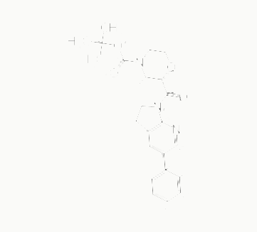 CC(C)(C)OC(=O)N1CCOC(C(=O)N2CCc3cc(-c4ccccc4)cnc32)C1